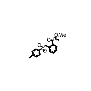 CON(C)C(=O)c1ccccc1CS(=O)(=O)c1ccc(C)cc1